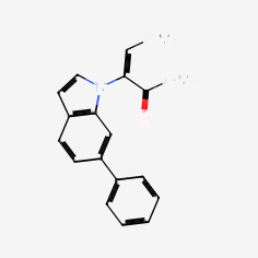 COC=C(C(=O)OC)n1ccc2ccc(-c3ccccc3)cc21